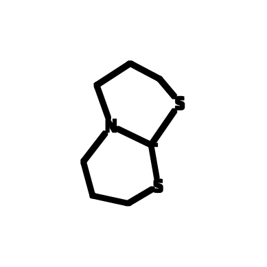 C1CS[C]2SCCCN2C1